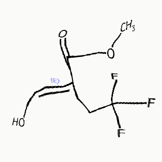 COC(=O)/C(=C/O)CC(F)(F)F